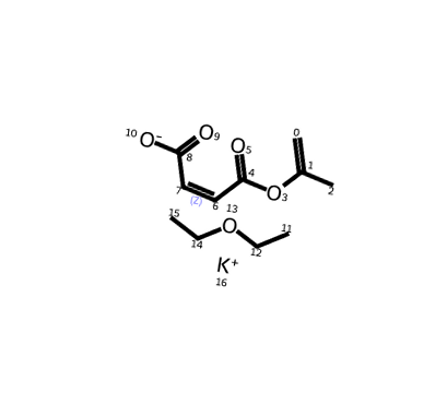 C=C(C)OC(=O)/C=C\C(=O)[O-].CCOCC.[K+]